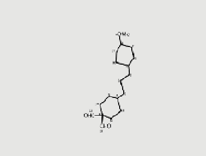 COC1CCC(CCCC2CCC(C=O)(C=O)CC2)CC1